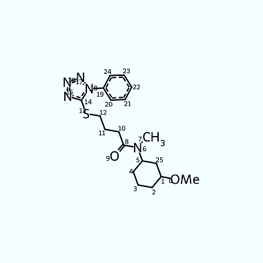 COC1CCCC(N(C)C(=O)CCCSc2nnnn2-c2ccccc2)C1